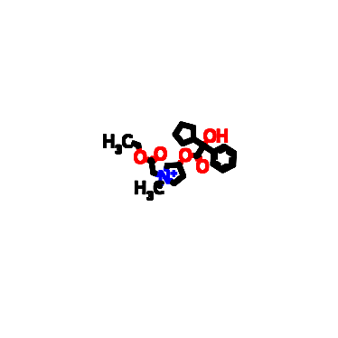 CCOC(=O)C[N+]1(C)CCC(OC(=O)C(O)(c2ccccc2)C2CCCC2)C1